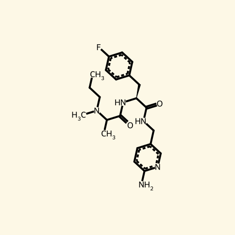 CCCN(C)C(C)C(=O)N[C@@H](Cc1ccc(F)cc1)C(=O)NCc1ccc(N)nc1